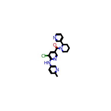 Cc1ccc(Nc2ncc(C(=O)N3CCCCC3c3cccnc3)cc2Cl)cn1